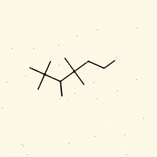 CCCC(C(C)(C)CCN)C(C)(C)C(C)C